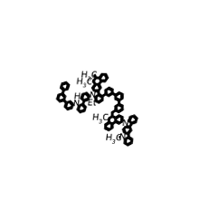 CCc1c(-c2ccccc2Nc2cccc(-c3cccc(-c4ccccc4)c3)c2)cccc1-n1c2cc3c(cc2c2c(-c4cccc(-c5cccc(-c6cccc(CC7c8ccc(-n9c%10ccccc%10c%10cc%11c%12ccccc%12n(C)c%11cc%109)cc8-c8ccccc8C7C)c6)c5)c4)cccc21)-c1ccccc1C(C)C3C